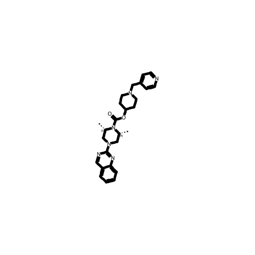 C[C@@H]1CN(c2ncc3ccccc3n2)C[C@H](C)N1C(=O)OC1CCN(Cc2ccncc2)CC1